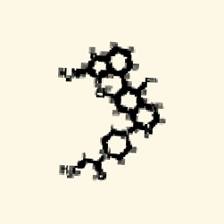 C=CC(=O)N1CCN(c2ncnc3c(F)c(-c4cccc5sc(N)nc45)c(Cl)cc23)CC1